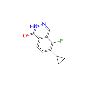 O=c1[nH]ncc2c(F)c(C3CC3)ccc12